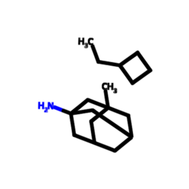 CC12CC3CC(C1)CC(N)(C3)C2.CCC1CCC1